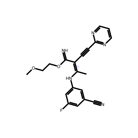 COCCOC(=N)/C(C#Cc1ncccn1)=C(/C)Nc1cc(F)cc(C#N)c1